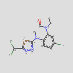 CCN(C=O)c1cc(F)ccc1N(C)c1nnc(C(F)F)s1